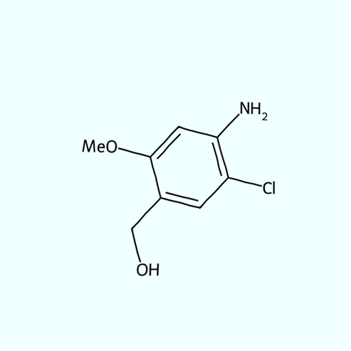 COc1cc(N)c(Cl)cc1CO